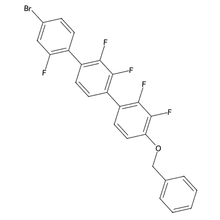 Fc1cc(Br)ccc1-c1ccc(-c2ccc(OCc3ccccc3)c(F)c2F)c(F)c1F